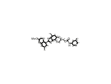 COc1cnc2c(-c3nc4c(C)cc5c(c4s3)OC[C@H](COC(=O)Nc3cncc(C)c3)O5)cc(C)cc2n1